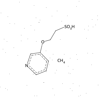 C.O=S(=O)(O)CCOc1cccnc1